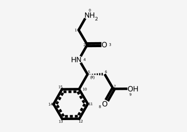 NCC(=O)N[C@H](CC(=O)O)c1ccccc1